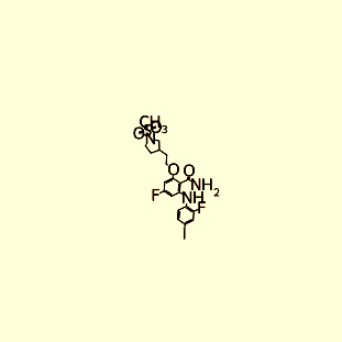 CS(=O)(=O)N1CCC(CCOc2cc(F)cc(Nc3ccc(I)cc3F)c2C(N)=O)C1